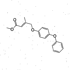 COC(=O)C=C(C)COc1ccc(Oc2ccccc2)cc1